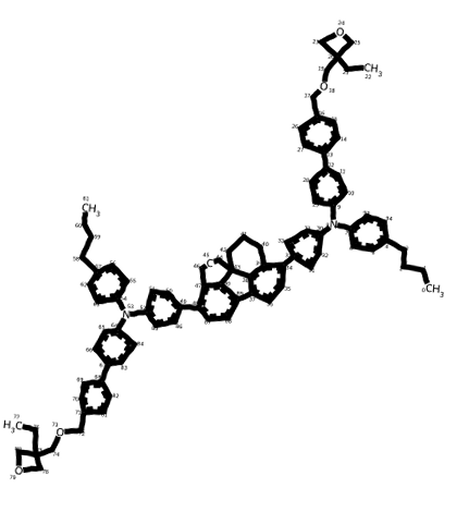 CCCCc1ccc(N(c2ccc(-c3ccc(COCC4(CC)COC4)cc3)cc2)c2ccc(-c3ccc4c5c3CCCC53CCCc5c(-c6ccc(N(c7ccc(CCCC)cc7)c7ccc(-c8ccc(COCC9(CC)COC9)cc8)cc7)cc6)ccc-4c53)cc2)cc1